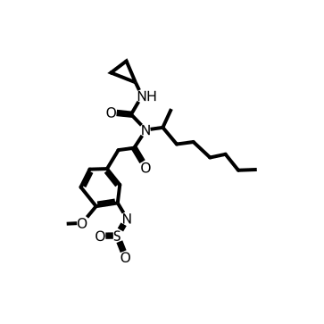 CCCCCCC(C)N(C(=O)Cc1ccc(OC)c(N=S(=O)=O)c1)C(=O)NC1CC1